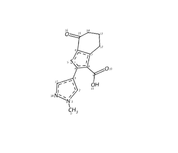 Cn1cc(-c2sc3c(c2C(=O)O)CCCC3=O)cn1